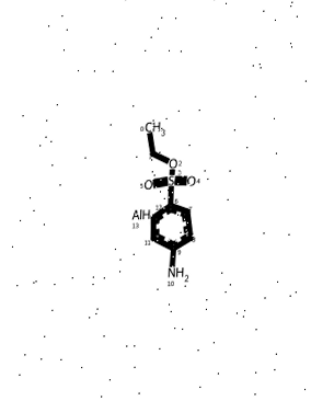 CCOS(=O)(=O)c1ccc(N)cc1.[AlH3]